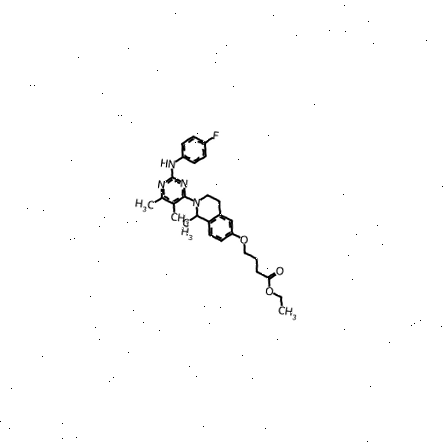 CCOC(=O)CCCOc1ccc2c(c1)CCN(c1nc(Nc3ccc(F)cc3)nc(C)c1C)C2C